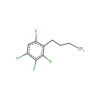 Fc1[c]c(F)c(CCCC(F)(F)F)c(F)c1F